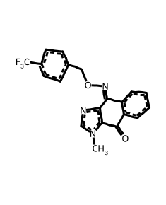 Cn1cnc2c1C(=O)c1ccccc1/C2=N/OCc1ccc(C(F)(F)F)cc1